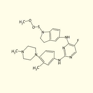 COOSN1CCc2cc(Nc3nc(Nc4ccc(N5CCN(C)CC5)c(C)c4)ncc3F)ccc21